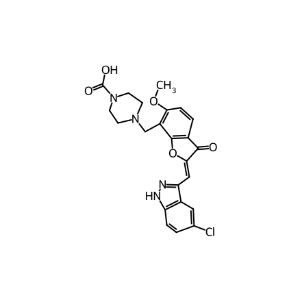 COc1ccc2c(c1CN1CCN(C(=O)O)CC1)OC(=Cc1n[nH]c3ccc(Cl)cc13)C2=O